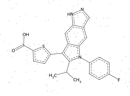 CC(C)c1c(-c2ccc(C(=O)O)s2)c2cc3[nH]ncc3cc2n1-c1ccc(F)cc1